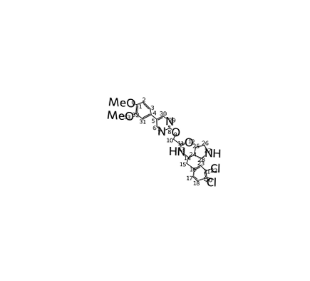 COc1ccc(-c2cnc(OCC(=O)NC(Cc3ccc(Cl)c(Cl)c3)C3CCNC3)nc2)cc1OC